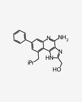 CC(C)Cc1cc(-c2ccccc2)cc2nc(N)c3nc(CO)[nH]c3c12